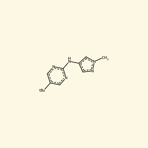 Cn1cc(Nc2ncc(C(C)(C)C)cn2)cn1